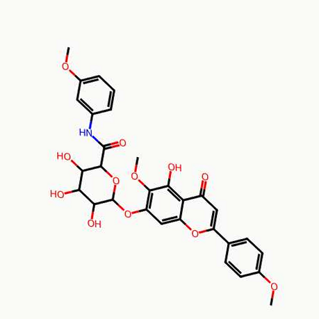 COc1ccc(-c2cc(=O)c3c(O)c(OC)c(OC4OC(C(=O)Nc5cccc(OC)c5)C(O)C(O)C4O)cc3o2)cc1